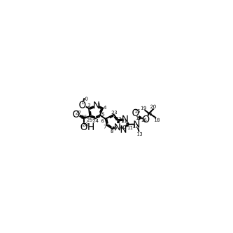 COc1ncc(-c2ccn3nc(N(C)C(=O)OC(C)(C)C)nc3c2)cc1C(=O)O